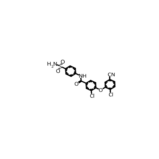 N#Cc1ccc(Cl)c(Oc2ccc(C(=O)Nc3ccc(S(N)(=O)=O)cc3)cc2Cl)c1